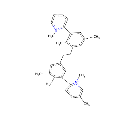 Cc1cc(CCc2cc(C)c(C)c(-c3ccc(C)c[n+]3C)c2)c(C)c(-c2cccc[n+]2C)c1